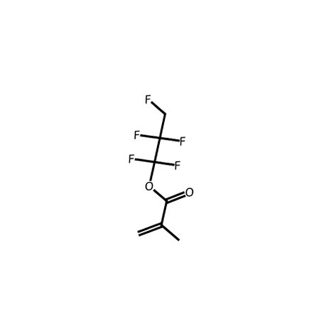 C=C(C)C(=O)OC(F)(F)C(F)(F)CF